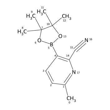 Cc1ccc(B2OC(C)(C)C(C)(C)O2)c(C#N)n1